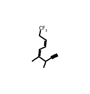 C#CC(C)/C(C)=C\C=C/CC(F)(F)F